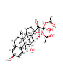 CC(=O)OC(O)(OC(C)=O)C(=O)[C@@]1(O)CC[C@H]2[C@@H]3CCC4=CC(=O)C=C[C@]4(C)[C@H]3[C@@H](O)C[C@@]21C